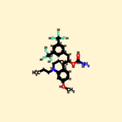 CCCN(CCC)c1cc(OC)ccc1CC(Cc1cc(C(F)(F)F)cc(C(F)(F)F)c1)OC(N)=O